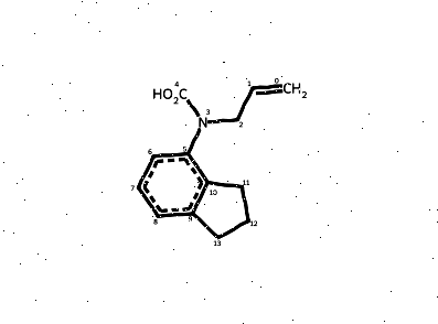 C=CCN(C(=O)O)c1cccc2c1CCC2